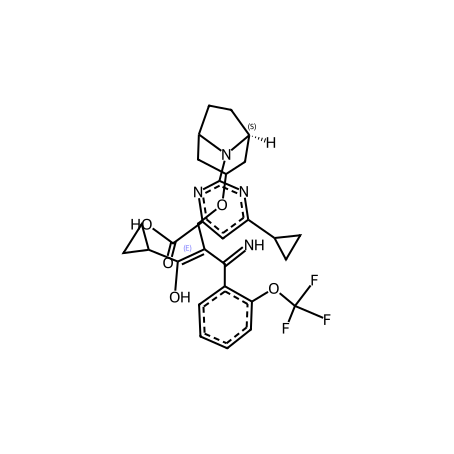 N=C(/C(COC1CC2CC[C@@H](C1)N2c1nc(C(=O)O)cc(C2CC2)n1)=C(\O)C1CC1)c1ccccc1OC(F)(F)F